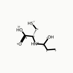 CCC(O)N[C@@H](CS)C(=O)O